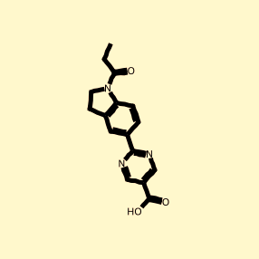 CCC(=O)N1CCc2cc(-c3ncc(C(=O)O)cn3)ccc21